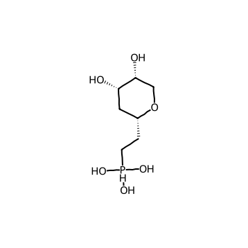 O[C@@H]1CO[C@H](CC[PH](O)(O)O)C[C@@H]1O